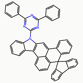 c1ccc(-c2nc(-c3ccccc3)nc(-n3c4ccccc4c4c5cccc6c5c(cc43)-c3ccccc3C63c4ccccc4-c4ccccc43)n2)cc1